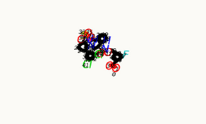 COC(=O)c1cc(F)cc(CONC(=O)[C@@H]2c3ccccc3C(=O)N([C@H]3CCCC[C@@H]3NS(C)(=O)=O)[C@H]2c2ccc(Cl)cc2Cl)c1